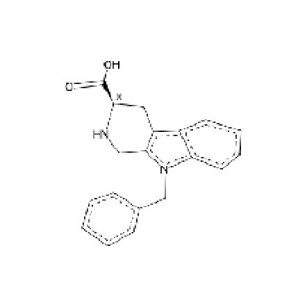 O=C(O)[C@H]1Cc2c(n(Cc3ccccc3)c3ccccc23)CN1